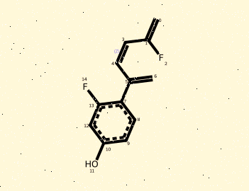 C=C(F)/C=C\C(=C)c1ccc(O)cc1F